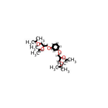 CC(C)OCC(COc1cccc(OCC(COC(C)C)OC(C)C)c1)OC(C)C